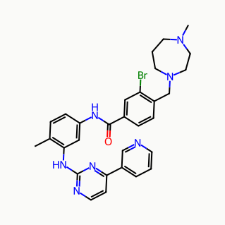 Cc1ccc(NC(=O)c2ccc(CN3CCCN(C)CC3)c(Br)c2)cc1Nc1nccc(-c2cccnc2)n1